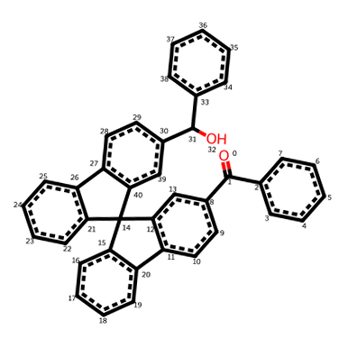 O=C(c1ccccc1)c1ccc2c(c1)C1(c3ccccc3-2)c2ccccc2-c2ccc(C(O)c3ccccc3)cc21